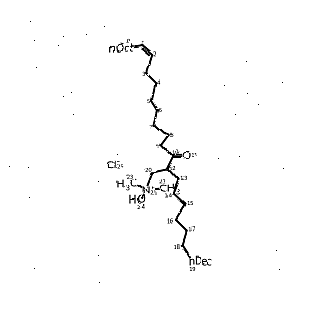 CCCCCCCC/C=C\CCCCCCCC(=O)C(CCCCCCCCCCCCCCCC)C[N+](C)(C)O.[Cl-]